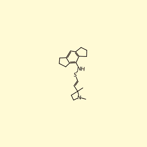 CN1CCC1(C)/C=C/SNc1c2c(cc3c1CCC3)CCC2